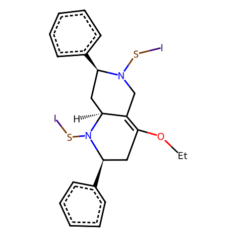 CCOC1=C2CN(SI)[C@H](c3ccccc3)C[C@@H]2N(SI)[C@H](c2ccccc2)C1